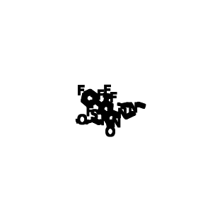 CCN1CCN(c2nc(=O)n3c4c(c(-c5ccc(F)cc5F)c(C(F)(F)F)cc24)S[C@H](COC)C3)[C@@H](C)C1